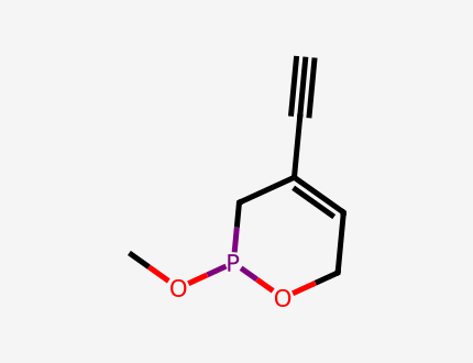 C#CC1=CCOP(OC)C1